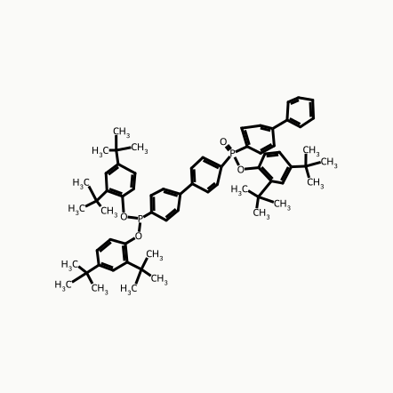 CC(C)(C)c1ccc(OP(Oc2ccc(C(C)(C)C)cc2C(C)(C)C)c2ccc(-c3ccc(P(=O)(Oc4ccc(C(C)(C)C)cc4C(C)(C)C)c4ccc(-c5ccccc5)cc4)cc3)cc2)c(C(C)(C)C)c1